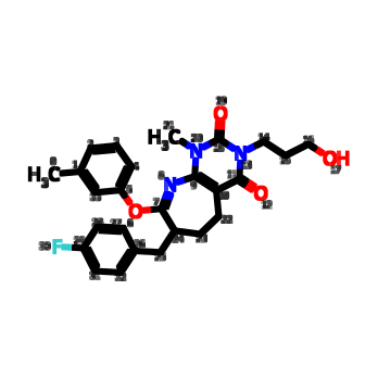 Cc1cccc(OC2=Nc3c(c(=O)n(CCCO)c(=O)n3C)CCC2Cc2ccc(F)cc2)c1